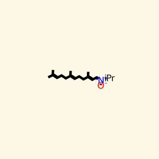 CC(C)=CCC/C(C)=C/CC/C(C)=C/C=[N+](\[O-])C(C)C